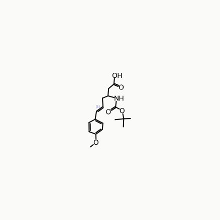 COc1ccc(/C=C/CC(CC(=O)O)NC(=O)OC(C)(C)C)cc1